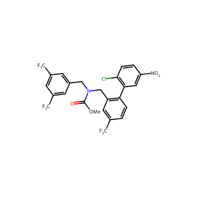 COC(=O)N(Cc1cc(C(F)(F)F)cc(C(F)(F)F)c1)Cc1cc(C(F)(F)F)ccc1-c1cc([N+](=O)[O-])ccc1Cl